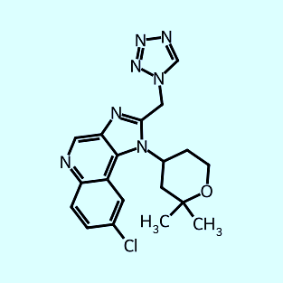 CC1(C)CC(n2c(Cn3cnnn3)nc3cnc4ccc(Cl)cc4c32)CCO1